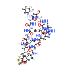 CCC(C)C(NC(=O)C(Cc1c[nH]cn1)NC(=O)CNC(=O)C(Cc1ccccc1)NC(=O)CNC(=O)CNC(=O)CNC(=O)CNC(=O)CCCCC1CCSS1)C(=O)NC(Cc1c[nH]cn1)C(=O)NC(CCC(=O)O)C(=O)NCC(=O)NC(Cc1ccc(O)cc1)C(C)=O